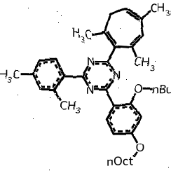 CCCCCCCCOc1ccc(-c2nc(C3=C(C)CC=C(C)C=C3C)nc(-c3ccc(C)cc3C)n2)c(OCCCC)c1